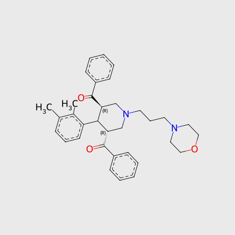 Cc1cccc(C2[C@@H](C(=O)c3ccccc3)CN(CCCN3CCOCC3)C[C@@H]2C(=O)c2ccccc2)c1C